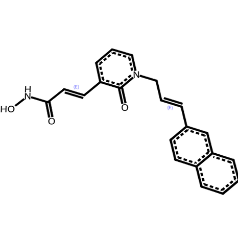 O=C(/C=C/c1cccn(C/C=C/c2ccc3ccccc3c2)c1=O)NO